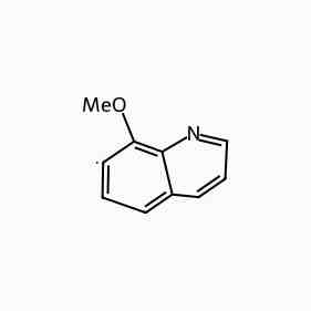 COc1[c]ccc2cccnc12